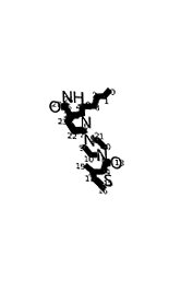 CCCCCc1nc(N2CCN(C(=O)C3SC=CC3C)CC2)ccc1C(N)=O